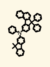 CC1(C)c2ccccc2-c2ccc(N(c3ccccc3)c3ccc4c(c3)-c3c(ccc5ccccc35)C4(c3ccccc3)c3ccccc3)cc21